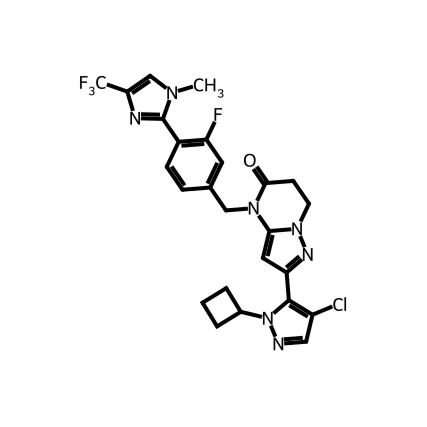 Cn1cc(C(F)(F)F)nc1-c1ccc(CN2C(=O)CCn3nc(-c4c(Cl)cnn4C4CCC4)cc32)cc1F